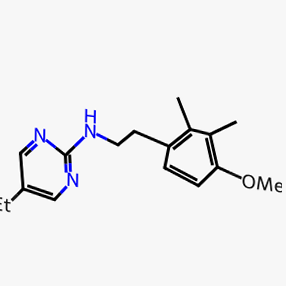 CCc1cnc(NCCc2ccc(OC)c(C)c2C)nc1